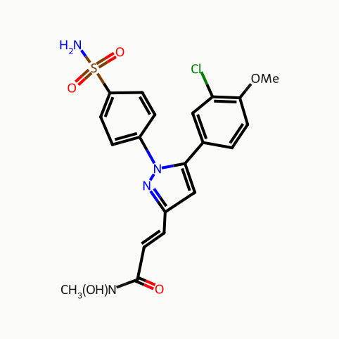 COc1ccc(-c2cc(C=CC(=O)N(C)O)nn2-c2ccc(S(N)(=O)=O)cc2)cc1Cl